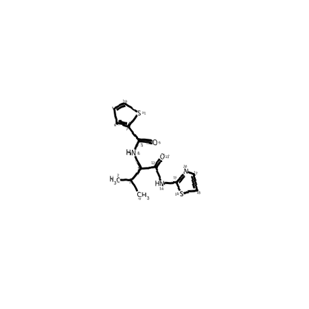 CC(C)C(NC(=O)c1cccs1)C(=O)Nc1nccs1